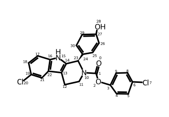 O=C(Oc1ccc(Cl)cc1)N1CCc2c([nH]c3ccc(Cl)cc23)[C@H]1c1ccc(O)cc1